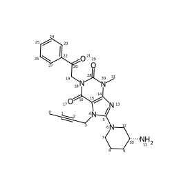 CC#CCn1c(N2CCC[C@@H](N)C2)nc2c1c(=O)n(CC(=O)c1ccccc1)c(=O)n2C